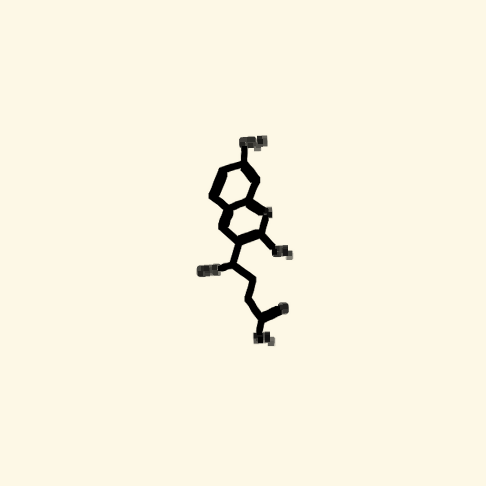 Cc1nc2cc(C(=O)O)ccc2cc1C(C=O)CCC(N)=O